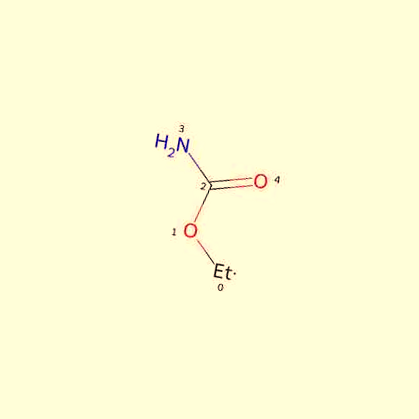 C[CH]OC(N)=O